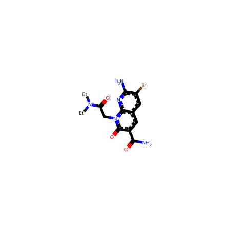 CCN(CC)C(=O)Cn1c(=O)c(C(N)=O)cc2cc(Br)c(N)nc21